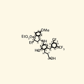 CCOC(=O)N1c2ccc(OC)nc2[C@@H](Nc2nc(O)c(CCCO)c(Cc3cc(C(F)(F)F)cc(C(F)(F)F)c3)n2)C[C@H]1CC